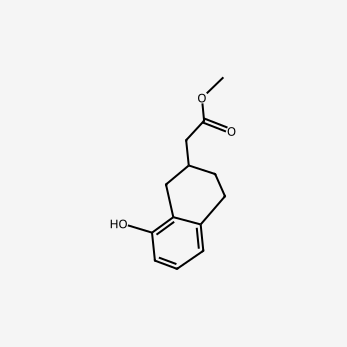 COC(=O)CC1CCc2cccc(O)c2C1